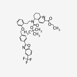 CCOC(=O)c1ccc2c(n1)CCCC2N(CCc1ccccc1OCc1ccc(-c2nc3cc(C(F)(F)F)ccc3o2)cc1)C(=O)OC(C)(C)C